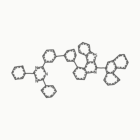 c1ccc(-c2nc(-c3ccccc3)nc(-c3cccc(-c4cccc(-c5cccc6nc(-c7cc8ccccc8c8ccccc78)c7sc8ccccc8c7c56)c4)c3)n2)cc1